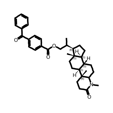 CC(COC(=O)c1ccc(C(=O)c2ccccc2)cc1)[C@H]1CC[C@H]2[C@@H]3CCC4N(C)C(=O)CC[C@]4(C)[C@H]3CC[C@]12C